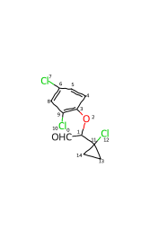 O=CC(Oc1ccc(Cl)cc1Cl)C1(Cl)CC1